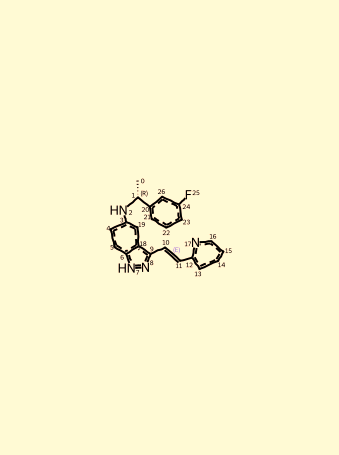 C[C@@H](Nc1ccc2[nH]nc(/C=C/c3ccccn3)c2c1)c1cccc(F)c1